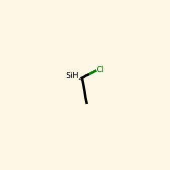 CCCl.[SiH4]